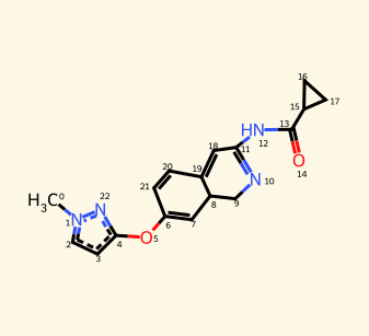 Cn1ccc(OC2=CC3CN=C(NC(=O)C4CC4)C=C3C=C2)n1